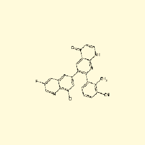 Cc1c(C#N)cccc1-c1nc2[nH]ccc(=O)c2cc1-c1cc(Cl)c2ncc(F)cc2c1